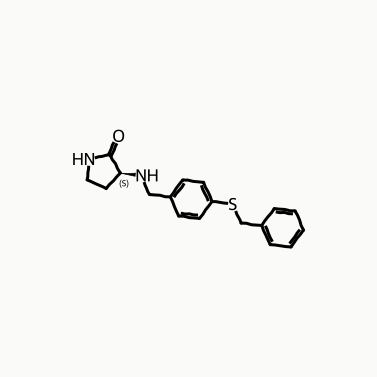 O=C1NCC[C@@H]1NCc1ccc(SCc2ccccc2)cc1